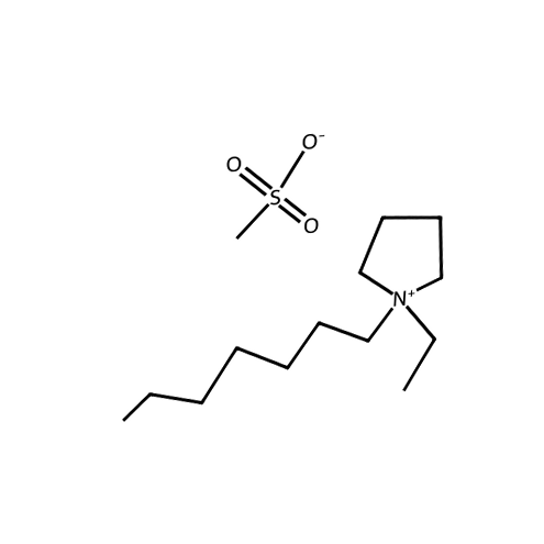 CCCCCCC[N+]1(CC)CCCC1.CS(=O)(=O)[O-]